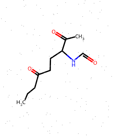 CCCC(=O)CCC(NC=O)C(C)=O